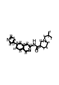 CC(C)CN1CCCC(C(=O)Nc2cc3cc(-c4cncs4)ccc3cn2)C1